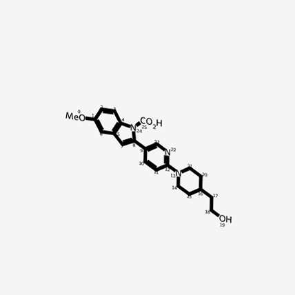 COc1ccc2c(c1)cc(-c1ccc(N3CCC(CCO)CC3)nc1)n2C(=O)O